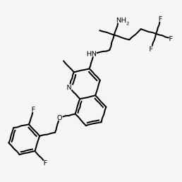 Cc1nc2c(OCc3c(F)cccc3F)cccc2cc1NCC(C)(N)CCC(F)(F)F